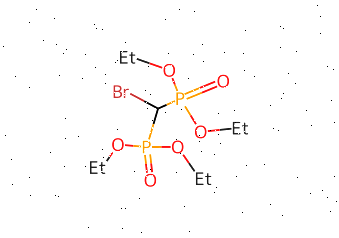 CCOP(=O)(OCC)C(Br)P(=O)(OCC)OCC